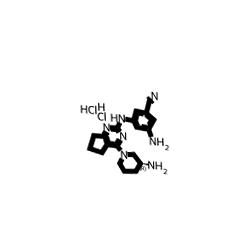 Cl.Cl.N#Cc1cc(N)cc(Nc2nc3c(c(N4CCC[C@@H](N)C4)n2)CCC3)c1